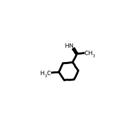 CC(=N)C1CCCC(C)C1